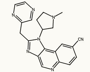 CN1CCC(n2c(Cc3cnccn3)nc3cnc4ccc(C#N)cc4c32)C1